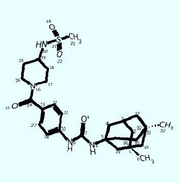 C[C@]12CC3CC(NC(=O)Nc4ccc(C(=O)N5CCC(NS(C)(=O)=O)CC5)cc4)(C1)C[C@@](C)(C3)C2